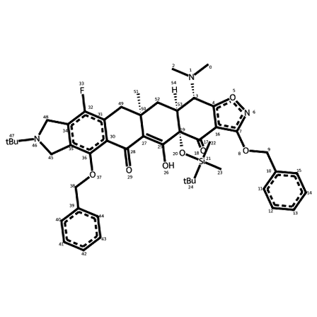 CN(C)[C@@H]1c2onc(OCc3ccccc3)c2C(=O)[C@@]2(O[Si](C)(C)C(C)(C)C)C(O)=C3C(=O)c4c(c(F)c5c(c4OCc4ccccc4)CN(C(C)(C)C)C5)C[C@@]3(C)C[C@@H]12